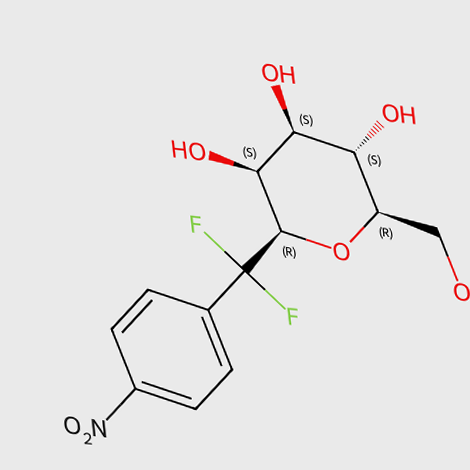 O=[N+]([O-])c1ccc(C(F)(F)[C@@H]2O[C@H](CO)[C@@H](O)[C@H](O)[C@@H]2O)cc1